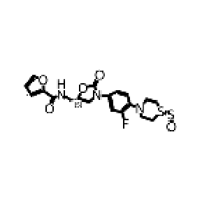 O=S=S1CCN(c2ccc(N3C[C@H](CNC(=O)c4[c]cco4)OC3=O)cc2F)CC1